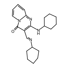 O=c1c(/C=N/C2CCCCC2)c(NC2CCCCC2)nc2ccccn12